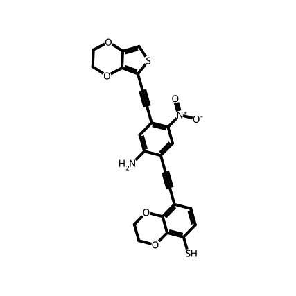 Nc1cc(C#Cc2scc3c2OCCO3)c([N+](=O)[O-])cc1C#Cc1ccc(S)c2c1OCCO2